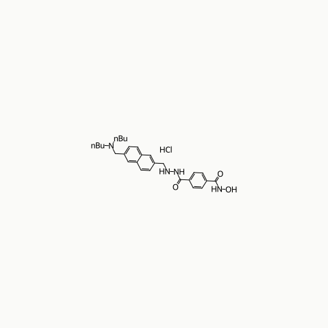 CCCCN(CCCC)Cc1ccc2cc(CNNC(=O)c3ccc(C(=O)NO)cc3)ccc2c1.Cl